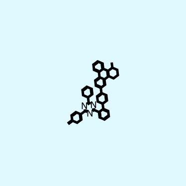 C=C1C=CC(c2nc(-c3ccccc3C3C=CC(c4ccc5c(c4)c4c(c6ccccc65)C(C)CCC4)=CC3)nc(C3C=CC=CC3)n2)=CC1